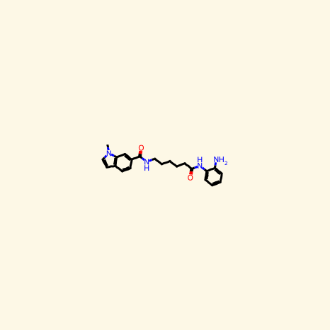 Cn1ccc2ccc(C(=O)NCCCCCC(=O)Nc3ccccc3N)cc21